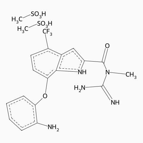 CN(C(=N)N)C(=O)c1cc2c(C(F)(F)F)ccc(Oc3ccccc3N)c2[nH]1.CS(=O)(=O)O.CS(=O)(=O)O